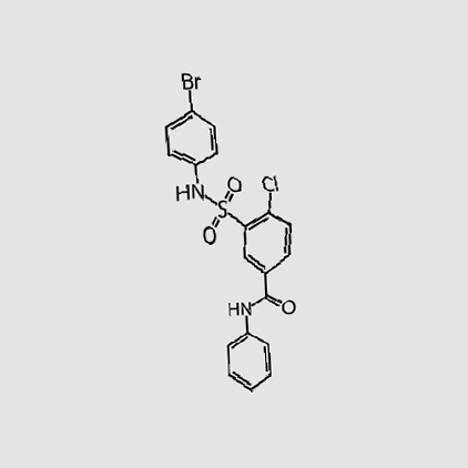 O=C(Nc1ccccc1)c1ccc(Cl)c(S(=O)(=O)Nc2ccc(Br)cc2)c1